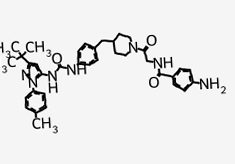 Cc1ccc(-n2nc(C(C)(C)C)cc2NC(=O)Nc2ccc(CC3CCN(C(=O)CNC(=O)c4ccc(N)cc4)CC3)cc2)cc1